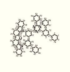 c1ccc(-c2ccc(-c3nc(-c4cccc(-n5c6ccccc6c6ccc7c8ccc9c%10ccccc%10n(-c%10cccc(-c%11ccccc%11)c%10)c9c8oc7c65)c4)nc(-c4ccccc4-c4ccccc4)n3)cc2)cc1